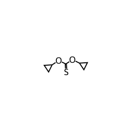 S=C(OC1CC1)OC1CC1